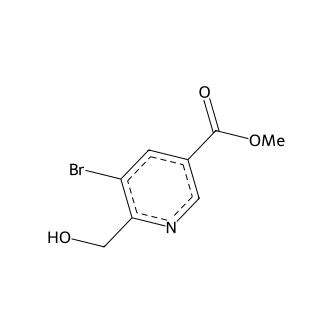 COC(=O)c1cnc(CO)c(Br)c1